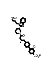 COCCCn1c([C@@H]2CCCN(C(=O)C[C@H](C)Cc3ccc(-c4ccc(C(=O)O)cc4Cl)cc3)C2)nc2ccccc21